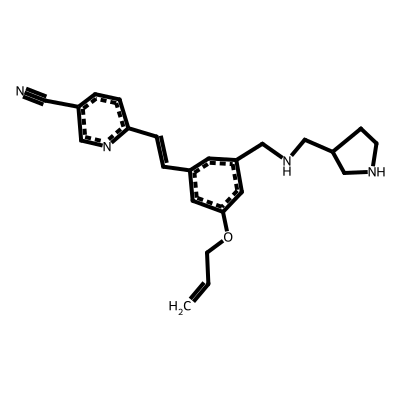 C=CCOc1cc(/C=C/c2ccc(C#N)cn2)cc(CNCC2CCNC2)c1